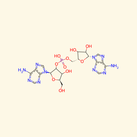 Nc1ncnc2c1ncn2[C@@H]1O[C@H](COP(=O)(O)OC2C(O)[C@@H](CO)O[C@H]2n2cnc3c(N)ncnc32)C(O)C1O